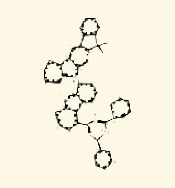 CC1(C)c2ccccc2-c2cc3c4ccccc4n(-c4cccc5c4oc4cccc(C6=NC(c7ccccc7)NC(c7ccccc7)=N6)c45)c3cc21